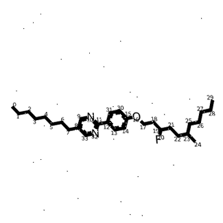 CCCCCCCCc1cnc(-c2ccc(OCCC(F)CCC(C)CCCCC)cc2)nc1